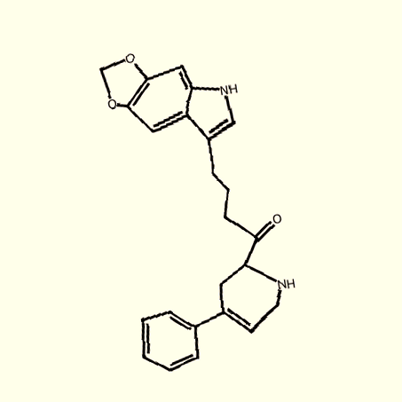 O=C(CCCc1c[nH]c2cc3c(cc12)OCO3)C1CC(c2ccccc2)=CCN1